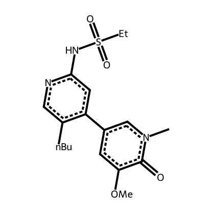 CCCCc1cnc(NS(=O)(=O)CC)cc1-c1cc(OC)c(=O)n(C)c1